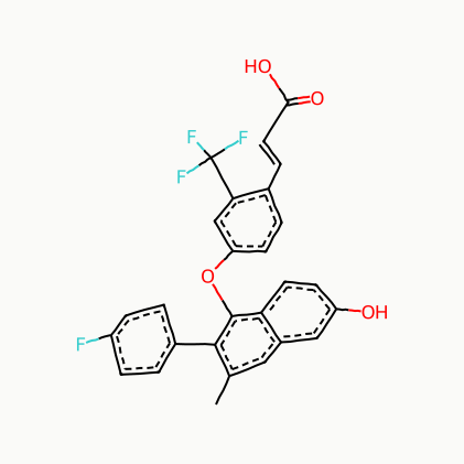 Cc1cc2cc(O)ccc2c(Oc2ccc(/C=C/C(=O)O)c(C(F)(F)F)c2)c1-c1ccc(F)cc1